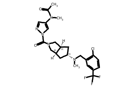 CC(=O)N(C)c1cnn(C(=O)N2C[C@H]3C[C@H](N(C)Cc4cc(C(F)(F)F)ccc4Cl)C[C@H]3C2)c1